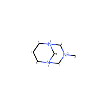 CN1CN2CCCN(C1)C2